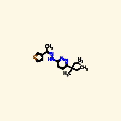 CCC(C)(CC)c1ccc(NN=C(C)c2ccsc2)nn1